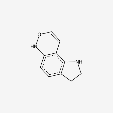 C1=Cc2c(ccc3c2NCC3)NO1